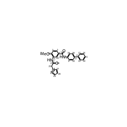 COc1ccc(C(=O)Nc2ccc(-c3ccccc3)cc2)cc1NC(=O)Cn1cccn1